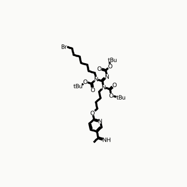 CC(=N)c1ccc(OCCCCN(C(=O)OC(C)(C)C)/C(=N/C(=O)OC(C)(C)C)N(CCCCCCCBr)C(=O)OC(C)(C)C)nc1